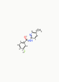 Cc1ccc(NC(=O)c2cccc(F)c2)nc1